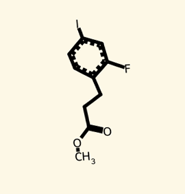 COC(=O)CCc1ccc(I)cc1F